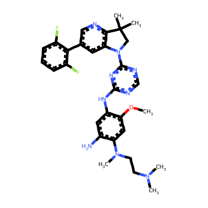 COc1cc(N(C)CCN(C)C)c(N)cc1Nc1ncnc(N2CC(C)(C)c3ncc(-c4c(F)cccc4F)cc32)n1